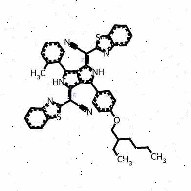 CCCCC(CC)COc1ccc(-c2[nH]/c(=C(/C#N)c3nc4ccccc4s3)c3c(-c4ccccc4C)[nH]/c(=C(/C#N)c4nc5ccccc5s4)c23)cc1